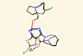 CC(C)(C)OC(=O)N1CC2CCC1CN(c1nc(OC[C@@]34CCCN3CC(F)C4)nc3c1NC(Br)S3)C2